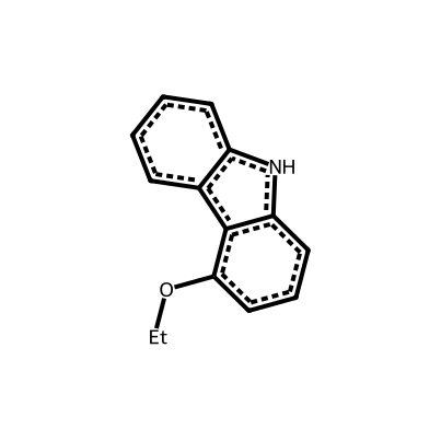 CCOc1cccc2[nH]c3ccccc3c12